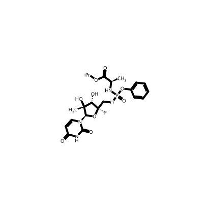 CC(C)OC(=O)[C@@H](C)NP(=O)(OC[C@@]1(F)O[C@@H](n2ccc(=O)[nH]c2=O)[C@](C)(O)[C@@H]1O)Oc1ccccc1